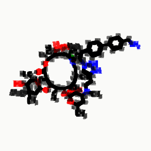 CC[C@H]1OC(=O)[C@H](C)[C@@H](O[C@H]2C[C@@](C)(OC)[C@@H](O)[C@H](C)O2)[C@H](C)[C@@H](O[C@@H]2O[C@H](C)C[C@H](N(C)CCC3=CN([C@H](CF)[C@H](OC)c4ccc(-c5ccc(CN)cc5)cc4)NN3)[C@H]2O)[C@](C)(O)C[C@@H](C)CN(C)[C@H](C)[C@@H](O)[C@]1(C)O